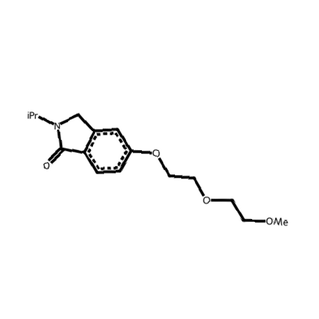 COCCOCCOc1ccc2c(c1)CN(C(C)C)C2=O